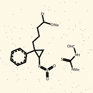 CCC(CCCC1(c2ccccc2)CC1N=S(=O)=O)OC.CNC(=S)NC=O